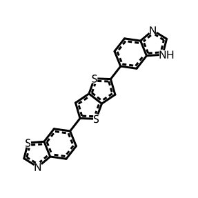 c1nc2ccc(-c3cc4sc(-c5ccc6ncsc6c5)cc4s3)cc2[nH]1